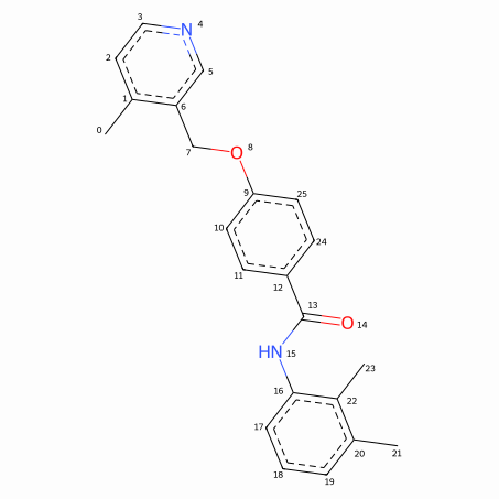 Cc1ccncc1COc1ccc(C(=O)Nc2cccc(C)c2C)cc1